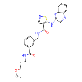 COCCCNC(=O)c1cccc(CNC(=O)c2cnsc2Nc2cnc3ccccc3n2)c1